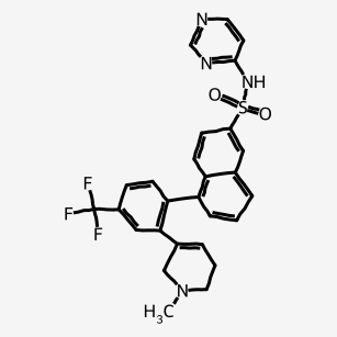 CN1CCC=C(c2cc(C(F)(F)F)ccc2-c2cccc3cc(S(=O)(=O)Nc4ccncn4)ccc23)C1